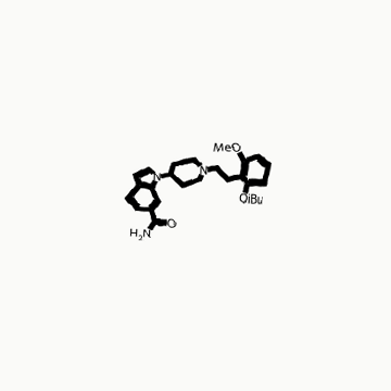 COc1cccc(OCC(C)C)c1CCN1CCC(n2ccc3ccc(C(N)=O)cc32)CC1